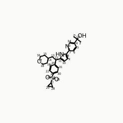 CC(C)(O)c1ccc(-c2ccc(C(CC3CCOCC3)c3ccc(S(=O)(=O)C4CC4)cc3)[nH]2)nc1